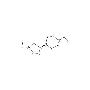 CCN1CCN([C@H]2CCN(CC)C2)CC1